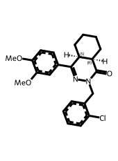 COc1ccc(C2=NN(Cc3ccccc3Cl)C(=O)[C@@H]3CCCC[C@H]23)cc1OC